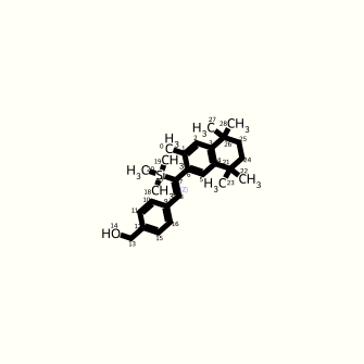 Cc1cc2c(cc1/C(=C/c1ccc(CO)cc1)[Si](C)(C)C)C(C)(C)CCC2(C)C